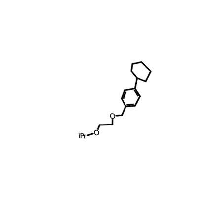 CC(C)OCCOCc1ccc(C2CCCCC2)cc1